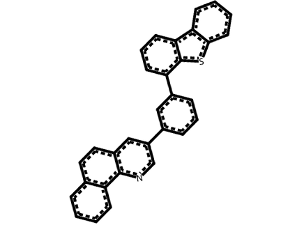 c1cc(-c2cnc3c(ccc4ccccc43)c2)cc(-c2cccc3c2sc2ccccc23)c1